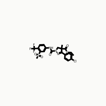 CCOC(=O)C1(C)CN(C(=O)Nc2ccc(C(F)(F)F)c(S(C)(=O)=O)c2)N=C1c1ccc(Cl)cc1